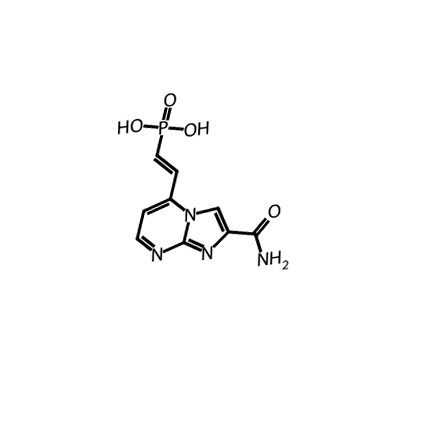 NC(=O)c1cn2c(/C=C/P(=O)(O)O)ccnc2n1